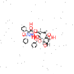 CC1=C2[C@@H](C)C(=O)[C@@]3(C)C([C@H](OC(=O)c4ccccc4)[C@](O)(C[C@@H]1OC(=O)[C@H](O)[C@@H](NC(=O)c1ccccc1)c1ccccc1)C2(C)C)[C@]1(C)CO[C@@H]1C[C@@H]3O